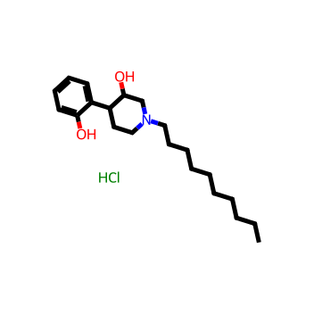 CCCCCCCCCCN1CCC(c2ccccc2O)C(O)C1.Cl